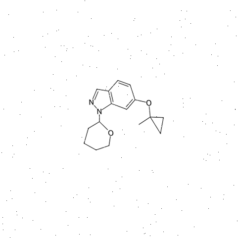 CC1(Oc2ccc3cnn(C4CCCCO4)c3c2)CC1